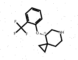 FC(F)(F)c1ccccc1O[C@@H]1CNCCC12CC2